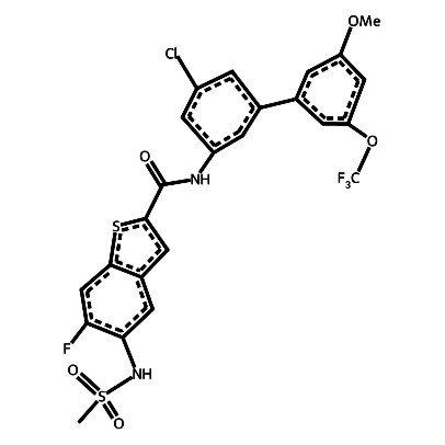 COc1cc(OC(F)(F)F)cc(-c2cc(Cl)cc(NC(=O)c3cc4cc(NS(C)(=O)=O)c(F)cc4s3)c2)c1